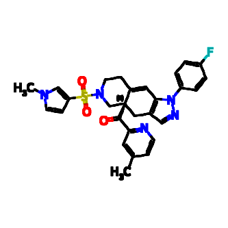 Cc1ccnc(C(=O)[C@]23Cc4cnn(-c5ccc(F)cc5)c4C=C2CCN(S(=O)(=O)c2ccn(C)c2)C3)c1